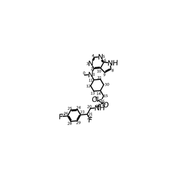 CN(c1ncnc2[nH]ccc12)C1CCC(CS(=O)(=O)NCC(F)c2ccc(F)cc2)CC1